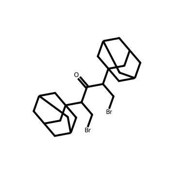 O=C(C(CBr)C12CC3CC(CC(C3)C1)C2)C(CBr)C12CC3CC(CC(C3)C1)C2